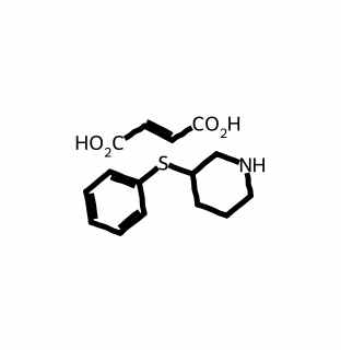 O=C(O)C=CC(=O)O.c1ccc(SC2CCCNC2)cc1